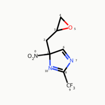 O=[N+]([O-])C1(CC2CO2)C=NC(C(F)(F)F)=N1